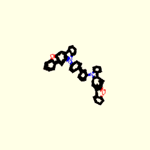 c1cc(-c2ccc(-n3c4ccccc4c4cc5oc6ccccc6c5cc43)cc2)cc(-n2c3ccccc3c3cc4oc5ccccc5c4cc32)c1